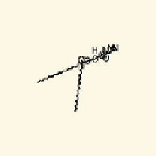 CCCCCCCCCCCCCCCCCCN(CCCCCCCCCCCCCCCCCC)C(=O)COCCOCCOC(=O)C(N)Cc1cncn1C